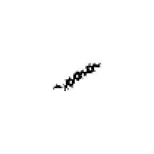 CCCOC(=O)c1ccc(-c2ccc(CCC3CCC(CCC)CC3)cc2)cc1